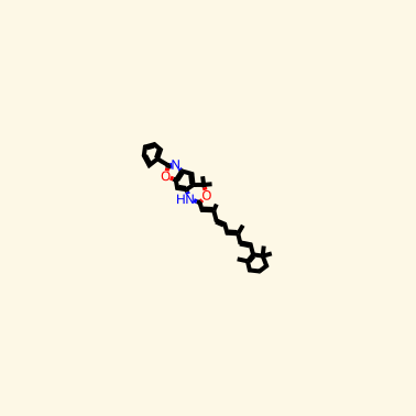 CC1=C(/C=C/C(C)=C/C=C/C(C)=C/C2Nc3cc4oc(-c5ccccc5)nc4cc3C(C)(C)O2)C(C)(C)CCC1